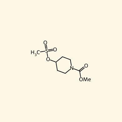 COC(=O)N1CCC(OS(C)(=O)=O)CC1